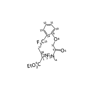 CCOC(=O)C1=[N+](N(C)C(=O)COc2ccccc2C(F)(F)F)C1C